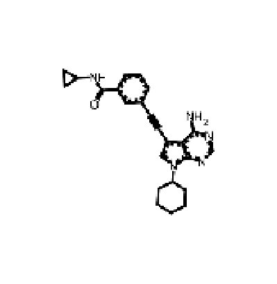 Nc1ncnc2c1c(C#Cc1cccc(C(=O)NC3CC3)c1)cn2C1CCCCC1